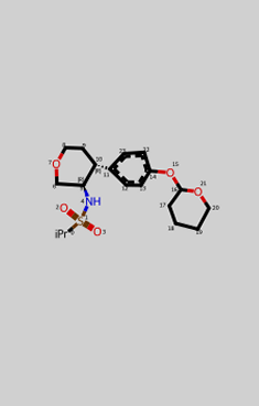 CC(C)S(=O)(=O)N[C@H]1COCC[C@@H]1c1ccc(OC2CCCCO2)cc1